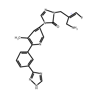 Cc1cc(-n2cnn(C/C(=C/F)CN)c2=O)cnc1-c1cccc(-c2nc[nH]n2)c1